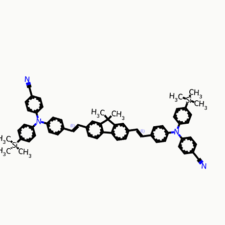 CC1(C)c2cc(/C=C/c3ccc(N(c4ccc(C#N)cc4)c4ccc([Si](C)(C)C)cc4)cc3)ccc2-c2ccc(/C=C/c3ccc(N(c4ccc(C#N)cc4)c4ccc([Si](C)(C)C)cc4)cc3)cc21